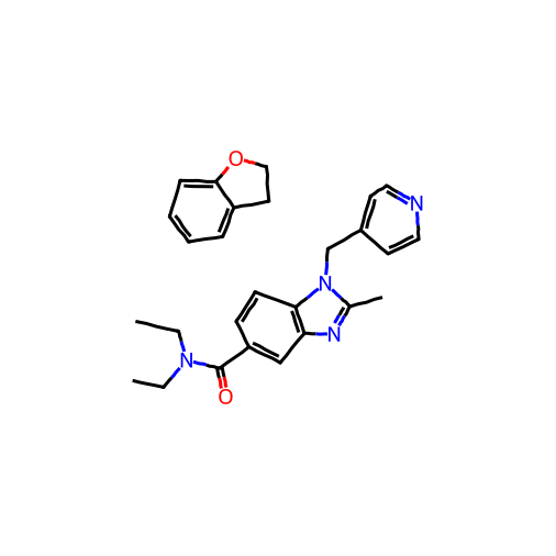 CCN(CC)C(=O)c1ccc2c(c1)nc(C)n2Cc1ccncc1.c1ccc2c(c1)CCO2